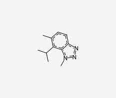 Cc1ccc2nnn(C)c2c1C(C)C